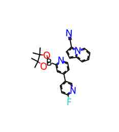 CC1(C)OB(c2cc(-c3ccc(F)nc3)ccn2)OC1(C)C.N#Cc1ccc2ccccn12